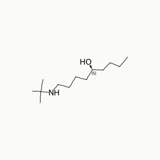 CCCC[C@H](O)CCCCNC(C)(C)C